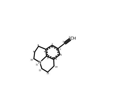 C#Cc1cc2c3c(c1)CCCN3CCC2